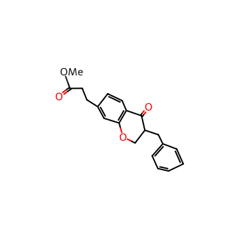 COC(=O)CCc1ccc2c(c1)OCC(Cc1ccccc1)C2=O